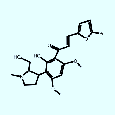 COc1cc(OC)c(C2CCN(C)C2CO)c(O)c1C(=O)C=Cc1ccc(Br)o1